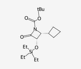 CC[Si](CC)(CC)O[C@@H]1C(=O)N(C(=O)OC(C)(C)C)[C@@H]1C1CCC1